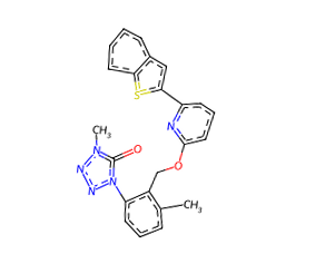 Cc1cccc(-n2nnn(C)c2=O)c1COc1cccc(-c2cc3ccccc3s2)n1